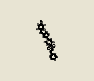 O=S(=O)(/C=C/c1ccccc1)N1CCN(c2nc(Cc3ccc(F)cc3)ns2)CC1